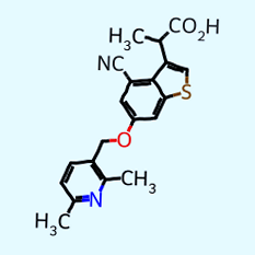 Cc1ccc(COc2cc(C#N)c3c(C(C)C(=O)O)csc3c2)c(C)n1